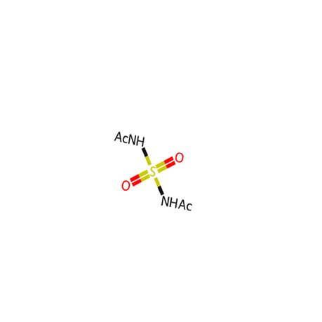 CC(=O)NS(=O)(=O)NC(C)=O